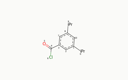 CC(C)c1cc(C(=O)Cl)cc(C(C)C)c1